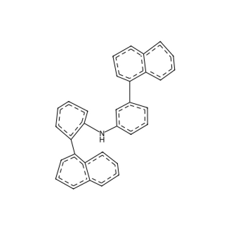 c1cc(Nc2ccccc2-c2cccc3ccccc23)cc(-c2cccc3ccccc23)c1